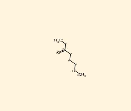 CCC(=O)CCCSC